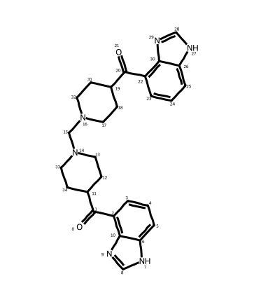 O=C(c1cccc2[nH]cnc12)C1CCN(CN2CCC(C(=O)c3cccc4[nH]cnc34)CC2)CC1